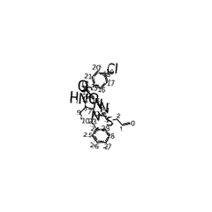 C=CCSc1nnc(C(CC)NS(=O)(=O)c2ccc(Cl)cc2)n1Cc1ccccc1